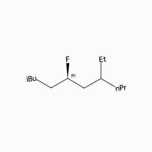 CCCC(CC)C[C@H](F)CC(C)CC